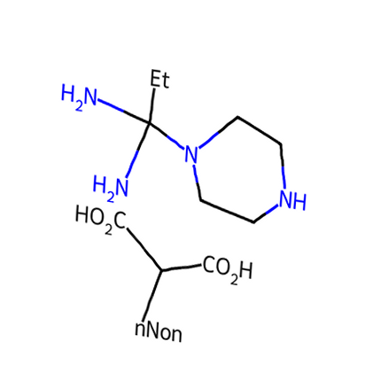 CCC(N)(N)N1CCNCC1.CCCCCCCCCC(C(=O)O)C(=O)O